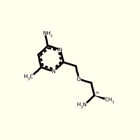 Cc1cc(N)nc(COC[C@@H](C)N)n1